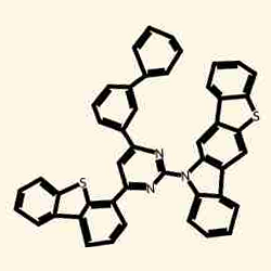 c1ccc(-c2cccc(-c3cc(-c4cccc5c4sc4ccccc45)nc(-n4c5ccccc5c5cc6sc7ccccc7c6cc54)n3)c2)cc1